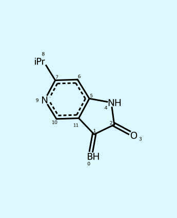 B=C1C(=O)Nc2cc(C(C)C)ncc21